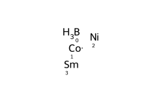 B.[Co].[Ni].[Sm]